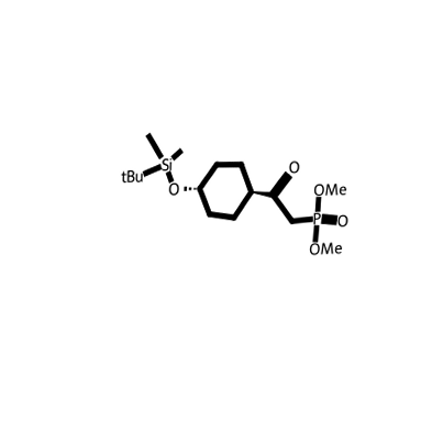 COP(=O)(CC(=O)[C@H]1CC[C@H](O[Si](C)(C)C(C)(C)C)CC1)OC